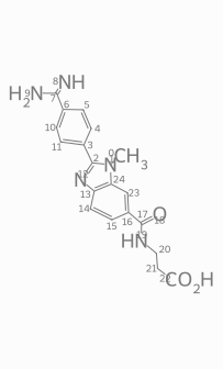 Cn1c(-c2ccc(C(=N)N)cc2)nc2ccc(C(=O)NCCC(=O)O)cc21